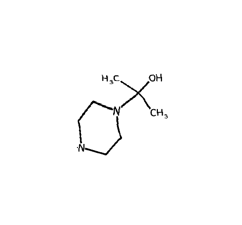 CC(C)(O)N1CC[N]CC1